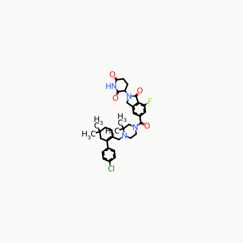 CC1(C)CCC(CN2CCN(C(=O)c3cc(F)c4c(c3)CN(C3CCC(=O)NC3=O)C4=O)CC2(C)C)=C(c2ccc(Cl)cc2)C1